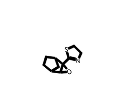 C1CSC(C23OC2C2CCC3C2)=N1